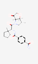 C[C@H]1CN(C(=O)[C@@H](NC(=O)c2ccc(C(N)=O)cc2)C2(C)CCCC2)[C@@H]2C(=O)CO[C@@H]21